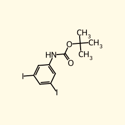 CC(C)(C)OC(=O)Nc1cc(I)cc(I)c1